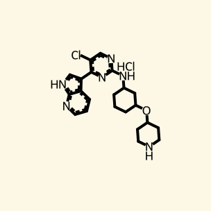 Cl.Clc1cnc(NC2CCCC(OC3CCNCC3)C2)nc1-c1c[nH]c2ncccc12